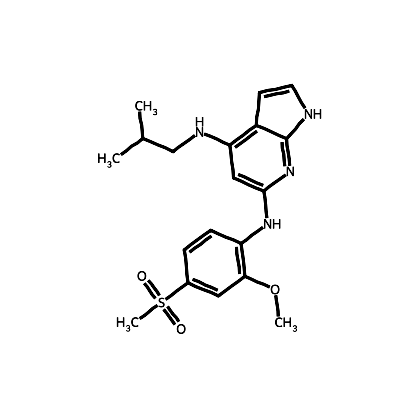 COc1cc(S(C)(=O)=O)ccc1Nc1cc(NCC(C)C)c2cc[nH]c2n1